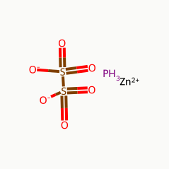 O=S(=O)([O-])S(=O)(=O)[O-].P.[Zn+2]